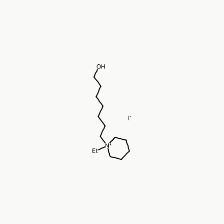 CC[N+]1(CCCCCCCO)CCCCC1.[I-]